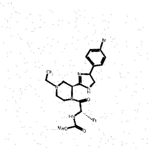 COC(=O)N[C@H](C(=O)N1CCN(CC(F)(F)F)C[C@H]1C1=NC(c2ccc(Br)cc2)CN1)C(C)C